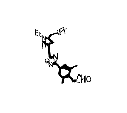 CCn1nc(-c2nc(-c3cc(C)c(CC=O)c(C)c3)no2)cc1CC(C)C